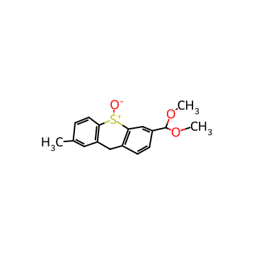 COC(OC)c1ccc2c(c1)[S+]([O-])c1ccc(C)cc1C2